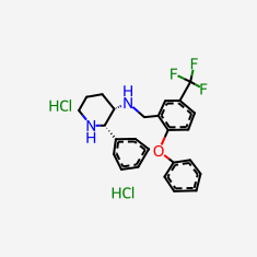 Cl.Cl.FC(F)(F)c1ccc(Oc2ccccc2)c(CN[C@H]2CCCN[C@H]2c2ccccc2)c1